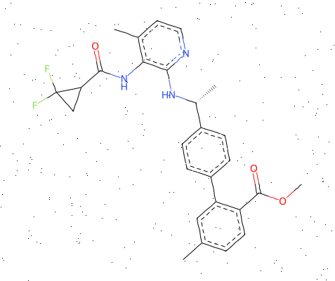 COC(=O)c1ccc(C)cc1-c1ccc([C@@H](C)Nc2nccc(C)c2NC(=O)C2CC2(F)F)cc1